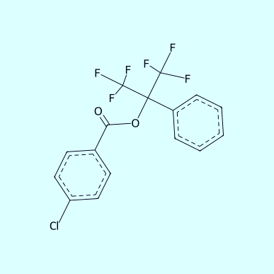 O=C(OC(c1ccccc1)(C(F)(F)F)C(F)(F)F)c1ccc(Cl)cc1